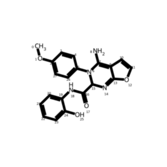 COc1ccc(N2C(N)=c3ccoc3=NC2C(=O)Nc2ccccc2O)cc1